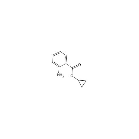 Nc1ccccc1C(=O)OC1CC1